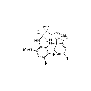 C=CCC1(C(O)(O)Nc2c(OC)cc(F)c(F)c2NC2(C)CC=C(I)C=C2F)CC1